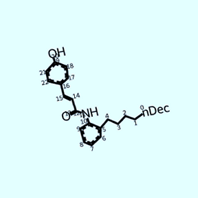 CCCCCCCCCCCCCCc1ccccc1NC(=O)C=Cc1ccc(O)cc1